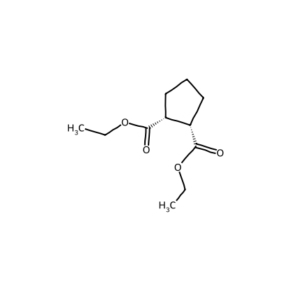 CCOC(=O)[C@H]1CCC[C@H]1C(=O)OCC